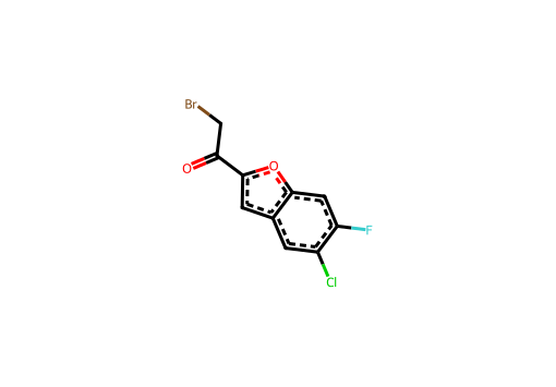 O=C(CBr)c1cc2cc(Cl)c(F)cc2o1